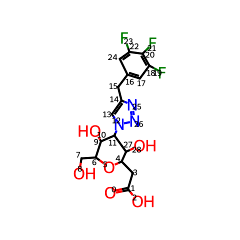 O=C(O)CC1OC(CO)C(O)C(n2cc(Cc3cc(F)c(F)c(F)c3)nn2)C1O